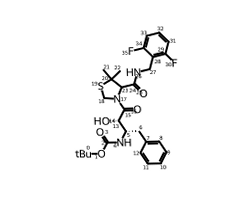 CC(C)(C)OC(=O)N[C@@H](Cc1ccccc1)[C@H](O)C(=O)N1CSC(C)(C)C1C(=O)NCc1c(F)cccc1F